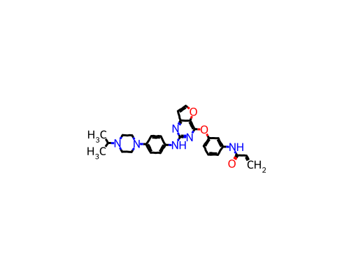 C=CC(=O)Nc1cccc(Oc2nc(Nc3ccc(N4CCN(C(C)C)CC4)cc3)nc3ccoc23)c1